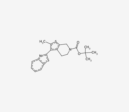 Cc1sc2c(c1-c1nc3ccccc3s1)CCN(C(=O)OC(C)(C)C)C2